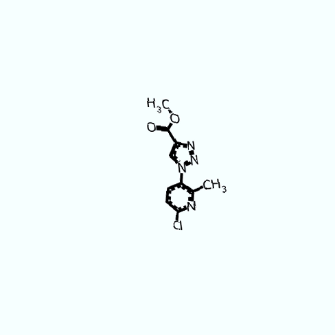 COC(=O)c1cn(-c2ccc(Cl)nc2C)nn1